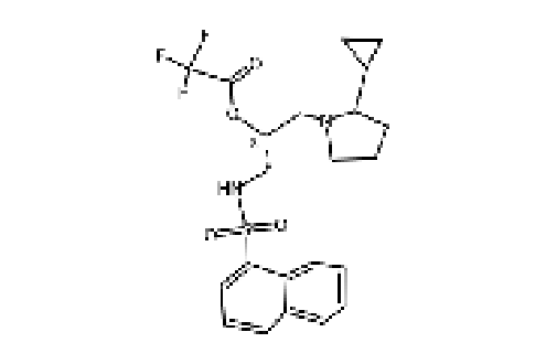 O=C(O[C@@H](CNS(=O)(=O)c1cccc2ccccc12)CN1CCCC1C1CC1)C(F)(F)F